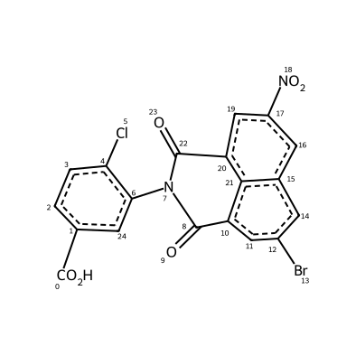 O=C(O)c1ccc(Cl)c(N2C(=O)c3cc(Br)cc4cc([N+](=O)[O-])cc(c34)C2=O)c1